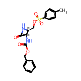 Cc1ccc(S(=O)(=O)OC[C@@H]2NC(=O)[C@@H]2NC(=O)OCc2ccccc2)cc1